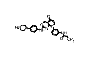 C=CC(=O)Nc1cccc(-n2ccc(=O)c3cnc(Nc4ccc(N5CCNCC5)cc4)nc32)c1